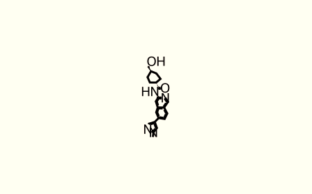 Cn1cc(-c2ccc3cnc(NC(=O)[C@H]4CC[C@H](CO)CC4)cc3c2)cn1